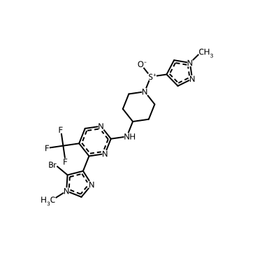 Cn1cc([S+]([O-])N2CCC(Nc3ncc(C(F)(F)F)c(-c4ncn(C)c4Br)n3)CC2)cn1